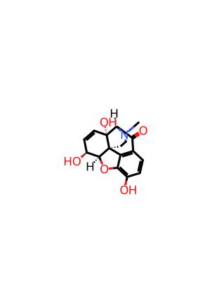 CN1CC[C@]23c4c5ccc(O)c4O[C@H]2[C@@H](O)C=C[C@@]3(O)[C@H]1C5=O